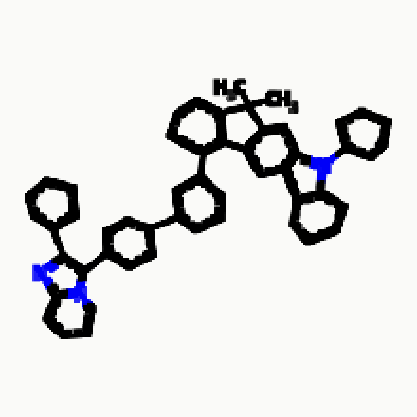 CC1(C)c2cc3c(cc2-c2c(-c4cccc(-c5ccc(-c6c(-c7ccccc7)nc7ccccn67)cc5)c4)cccc21)c1ccccc1n3-c1ccccc1